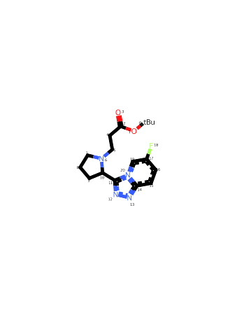 CC(C)(C)OC(=O)CCN1CCCC1c1nnc2ccc(F)cn12